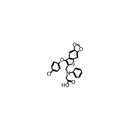 O=C(O)CN(Cc1sc2cc3c(cc2c1Oc1ccc(Cl)cc1)OCO3)c1ccccc1